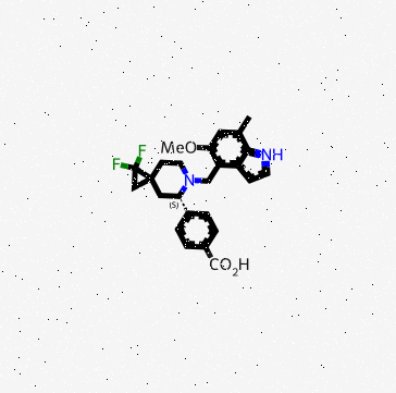 COc1cc(C)c2[nH]ccc2c1CN1CCC2(C[C@H]1c1ccc(C(=O)O)cc1)CC2(F)F